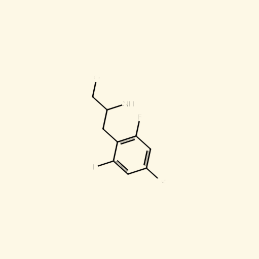 NC(CO)Cc1c(F)cc(Br)cc1F